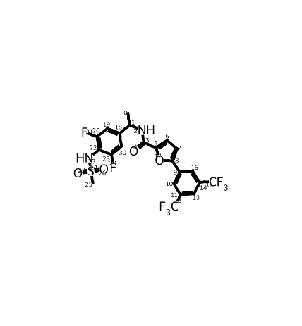 CC(NC(=O)c1ccc(-c2cc(C(F)(F)F)cc(C(F)(F)F)c2)o1)c1cc(F)c(NS(C)(=O)=O)c(F)c1